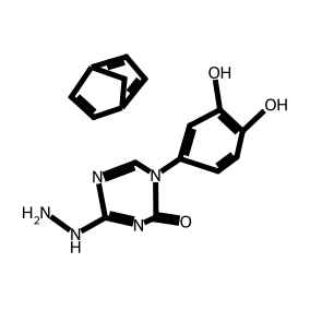 C1=CC2=CC=C1C2.NNc1ncn(-c2ccc(O)c(O)c2)c(=O)n1